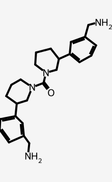 NCc1cccc(C2CCCN(C(=O)N3CCCC(c4cccc(CN)c4)C3)C2)c1